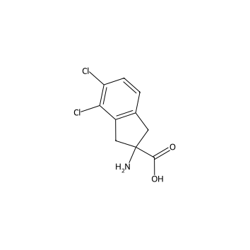 NC1(C(=O)O)Cc2ccc(Cl)c(Cl)c2C1